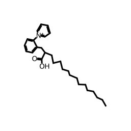 CCCCCCCCCCCCCCC(Cc1ccccc1-[n+]1ccccc1)C(=O)O